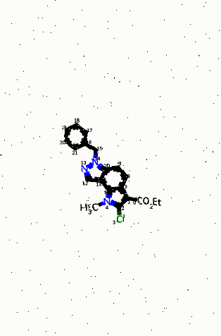 CCOC(=O)c1c(Cl)n(C)c2c1ccc1c2cnn1Cc1ccccc1